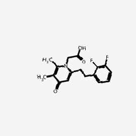 Cc1c(C)n(CC(=O)O)c(CCc2cccc(F)c2F)cc1=O